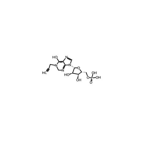 C#CCN1CN=c2c(ncn2[C@@H]2O[C@H](COP(=O)(O)O)[C@@H](O)[C@H]2O)=C1O